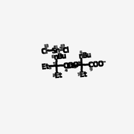 CCCCC(CC)(CC)C(=O)[O-].CCCCC(CC)(CC)C(=O)[O-].[Cl][Sn+2][Cl]